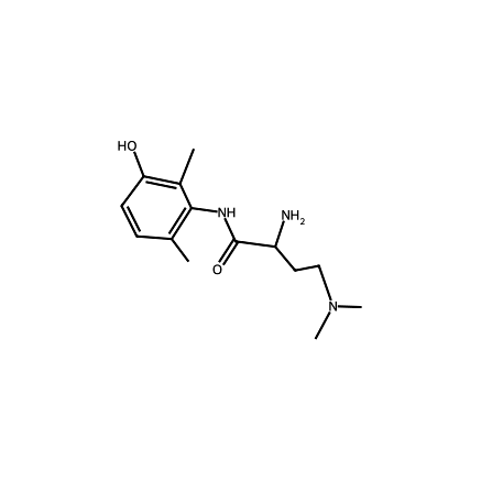 Cc1ccc(O)c(C)c1NC(=O)C(N)CCN(C)C